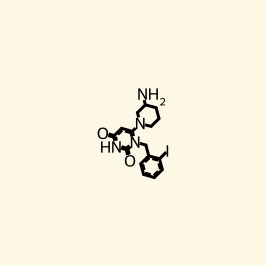 NC1CCCN(c2cc(=O)[nH]c(=O)n2Cc2ccccc2I)C1